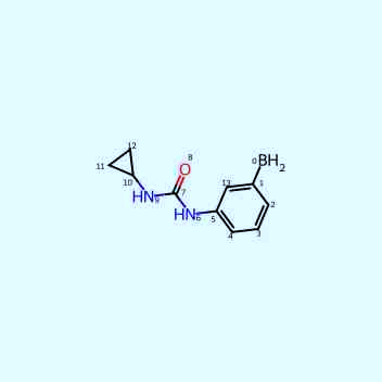 Bc1cccc(NC(=O)NC2CC2)c1